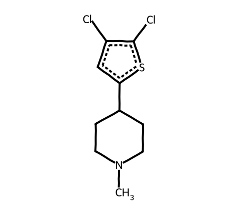 CN1CCC(c2cc(Cl)c(Cl)s2)CC1